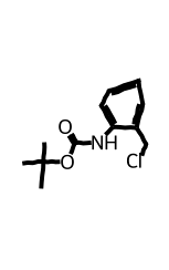 CC(C)(C)OC(=O)Nc1ccccc1CCl